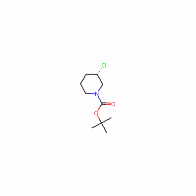 CC(C)(C)OC(=O)N1CCC[C@H](Cl)C1